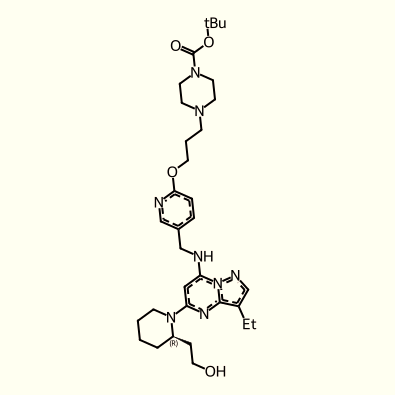 CCc1cnn2c(NCc3ccc(OCCCN4CCN(C(=O)OC(C)(C)C)CC4)nc3)cc(N3CCCC[C@@H]3CCO)nc12